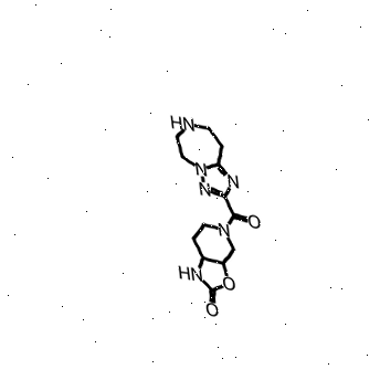 O=C1NC2CCN(C(=O)c3nc4n(n3)CCNCC4)CC2O1